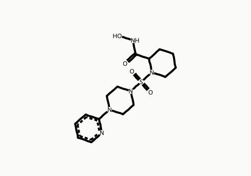 O=C(NO)C1CCCCN1S(=O)(=O)N1CCN(c2ccccn2)CC1